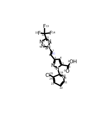 O=C(O)c1cc(/C=C/n2nnc(C(F)(F)F)n2)nn1-c1ncccc1Cl